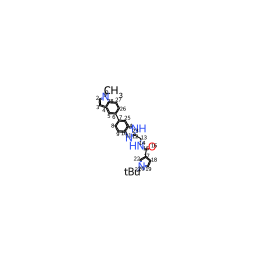 Cn1ccc2cc(-c3ccc4nc(CNC(=O)c5ccn(C(C)(C)C)c5)[nH]c4c3)ccc21